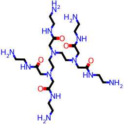 NCCNC(=O)CN(CCN(CC(=O)NCCN)CC(=O)NCCN)CCN(CC(=O)NCCN)CC(=O)NCCN